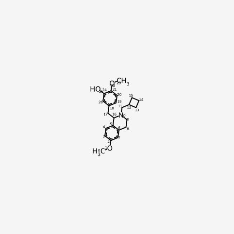 COc1ccc2c(c1)CCN(CC1CCC1)C2Cc1ccc(OC)c(O)c1